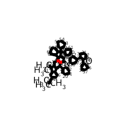 CC(C)(C)c1ccc2c(c1)C(C)(C)c1cccc(-c3ccccc3N(c3ccc(-c4cccc5oc6ccccc6c45)cc3)c3ccc4c(c3)C(c3ccccc3)(c3ccccc3)c3ccccc3-4)c1-2